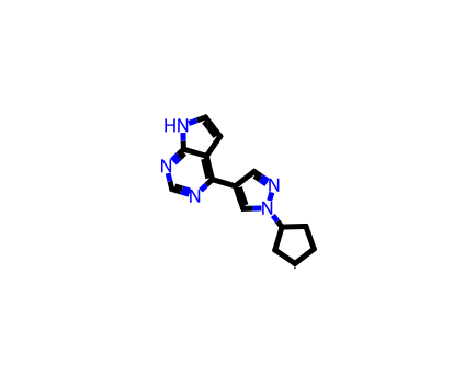 [CH]1CCC(n2cc(-c3ncnc4[nH]ccc34)cn2)C1